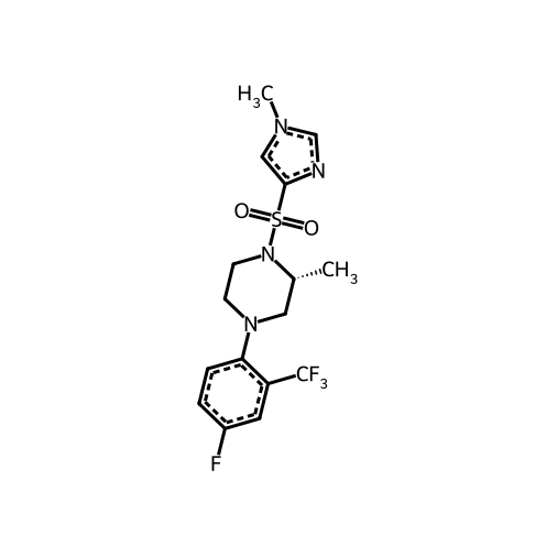 C[C@@H]1CN(c2ccc(F)cc2C(F)(F)F)CCN1S(=O)(=O)c1cn(C)cn1